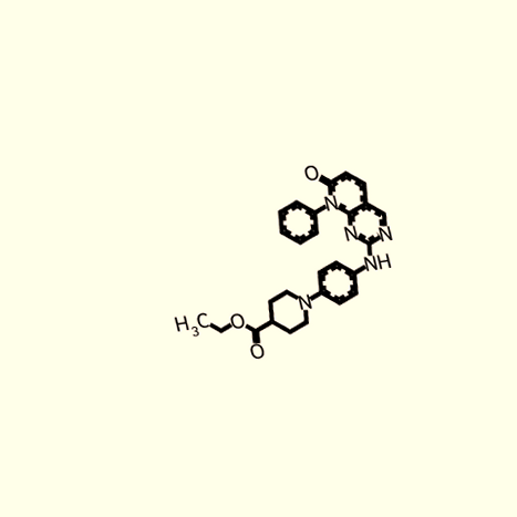 CCOC(=O)C1CCN(c2ccc(Nc3ncc4ccc(=O)n(-c5ccccc5)c4n3)cc2)CC1